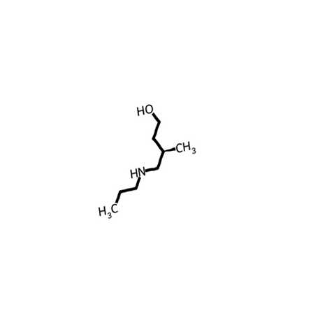 CCCNC[C@H](C)CCO